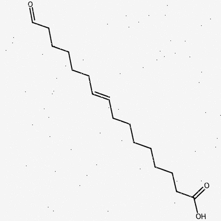 O=CCCCCCC=CCCCCCCCC(=O)O